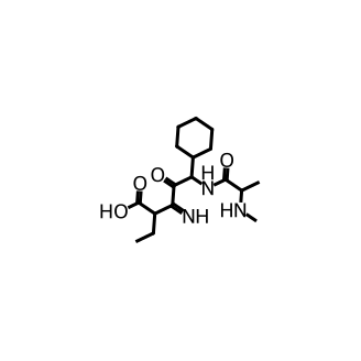 CCC(C(=N)C(=O)C(NC(=O)C(C)NC)C1CCCCC1)C(=O)O